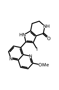 COc1ccc2nccc(-c3[nH]c4c(c3I)C(=O)NCC4)c2n1